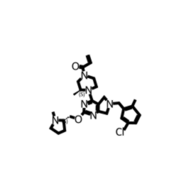 C=CC(=O)N1CCN(c2nc(OC[C@@H]3CCCN3C)nc3c2CN(Cc2cc(Cl)ccc2C)C3)[C@@H](C)C1